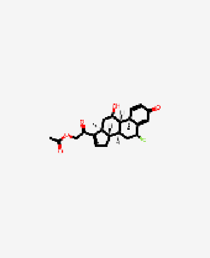 CC(=O)OCC(=O)C1=CC[C@H]2[C@@H]3CC(F)C4=CC(=O)C=C[C@]4(C)[C@H]3C(O)C[C@]12C